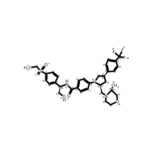 CCS(=O)(=O)c1ccc([C@H](CO)NC(=O)c2ccc(N3C[C@@H](c4ccc(C(F)(F)F)cc4)C[C@H]3CN3CCOC[C@@H]3C)cc2)cc1